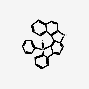 O=P1(c2ccccc2)c2ccccc2-c2ccc3[nH]c4ccc5ccccc5c4c3c21